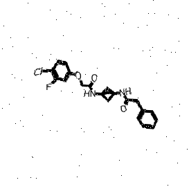 O=C(COc1ccc(Cl)c(F)c1)NC12CC(NC(=O)Cc3ccccc3)(C1)C2